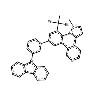 CCC(C)(CC)c1cc(-c2cccc(-n3c4ccccc4c4ccccc43)c2)cc2c3cnccc3c3cc[n+](C)n3c12